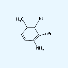 CCCc1c(N)ccc(C)c1CC